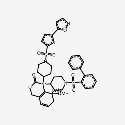 COC1(OC)CC=CC2=C1[N+](C1CCN(S(=O)(=O)c3ccc(-c4ccno4)s3)CC1)(C1CCN(S(=O)(=O)c3ccccc3-c3ccccc3)CC1)C(=O)OC2